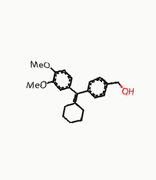 COc1ccc(C(=C2CCCCC2)c2ccc(CO)cc2)cc1OC